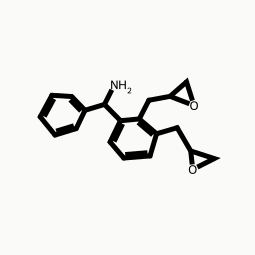 NC(c1ccccc1)c1cccc(CC2CO2)c1CC1CO1